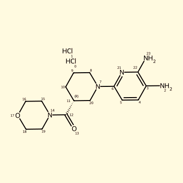 Cl.Cl.Nc1ccc(N2CCC[C@@H](C(=O)N3CCOCC3)C2)nc1N